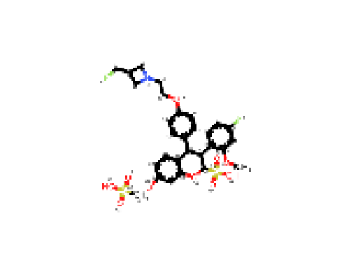 COc1cc(F)ccc1C1C(c2ccc(OCCN3CC(CF)C3)cc2)c2ccc(O)cc2OC1S(=O)(=O)O.CS(=O)(=O)O